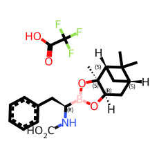 CC1(C)[C@@H]2C[C@H]3OB([C@H](Cc4ccccc4)NC(=O)O)O[C@@]3(C)[C@H]1C2.O=C(O)C(F)(F)F